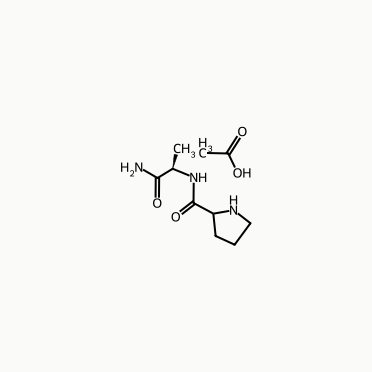 CC(=O)O.C[C@@H](NC(=O)C1CCCN1)C(N)=O